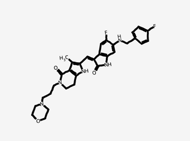 Cc1c(/C=C2\C(=O)Nc3cc(NCc4ccc(F)cc4)c(F)cc32)[nH]c2c1C(=O)N(CCCN1CCOCC1)CC2